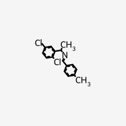 Cc1ccc(C=NC(C)c2cc(Cl)ccc2Cl)cc1